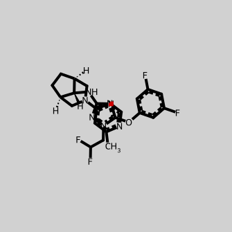 Cc1cc(N2C[C@H]3CC[C@@H](C2)[C@@H]3Nc2nc(Oc3cc(F)cc(F)c3)n(CC(F)F)n2)ncn1